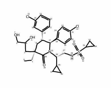 CC[C@]1(CC(O)CO)C[C@H](c2cccc(Cl)c2)[C@@H](c2ccc(Cl)cc2)N([C@H](CNS(=O)(=O)C2CC2)C2CC2)C1=O